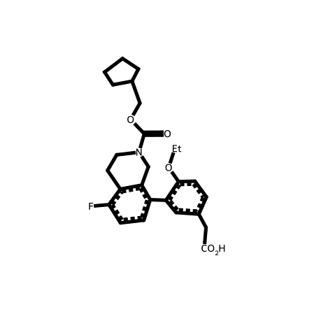 CCOc1ccc(CC(=O)O)cc1-c1ccc(F)c2c1CN(C(=O)OCC1CCCC1)CC2